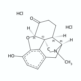 CN1CC[C@]23c4c5ccc(O)c4O[C@H]2C(=O)CC[C@H]3[C@H]1C5.Cl.Cl